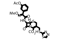 CON=C(C(=O)NC1C(=O)N2C(C(=O)O)=C(CSc3nncs3)CS[C@@H]12)c1cccc(OC(C)=O)c1